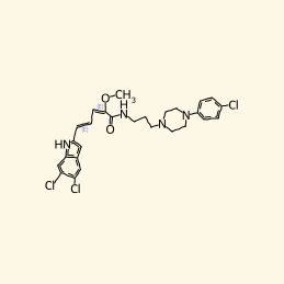 CO/C(=C/C=C/c1cc2cc(Cl)c(Cl)cc2[nH]1)C(=O)NCCCN1CCN(c2ccc(Cl)cc2)CC1